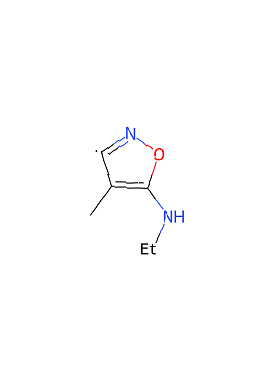 CCNc1on[c]c1C